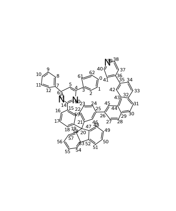 c1ccc(-c2cc(-c3ccccc3)nc(-c3cccc(C4(c5cccc(-c6ccc7ccc8ccc(-c9ccncc9)cc8c7c6)c5)c5ccccc5-c5ccccc54)c3)n2)cc1